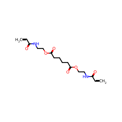 C=CC(=O)NCCOC(=O)CCCCC(=O)OCCNC(=O)C=C